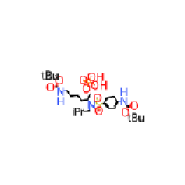 CC(C)CN(C(CCCCNC(=O)OC(C)(C)C)COP(=O)(O)O)S(=O)(=O)c1ccc(NC(=O)OC(C)(C)C)cc1